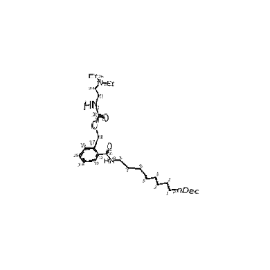 CCCCCCCCCCCCCCCCCCNC(=O)c1ccccc1COC(=O)NCCN(CC)CC